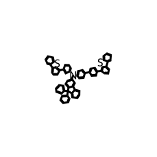 c1ccc(C2(c3ccccc3)c3ccccc3-c3cc(N(c4ccc(-c5ccc(-c6cccc7c6sc6ccccc67)cc5)cc4)c4cccc(-c5cccc6c5sc5ccccc56)c4)ccc32)cc1